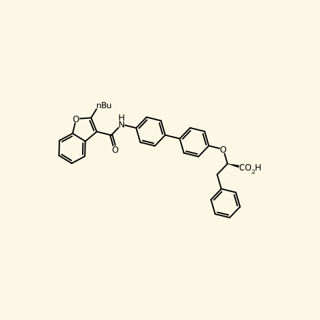 CCCCc1oc2ccccc2c1C(=O)Nc1ccc(-c2ccc(O[C@H](Cc3ccccc3)C(=O)O)cc2)cc1